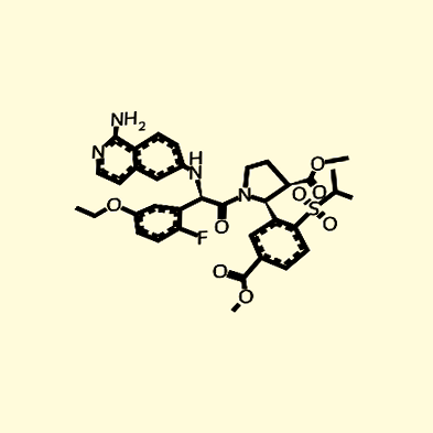 CCOc1ccc(F)c([C@@H](Nc2ccc3c(N)nccc3c2)C(=O)N2CC[C@@H](C(=O)OC)[C@H]2c2cc(C(=O)OC)ccc2S(=O)(=O)C(C)C)c1